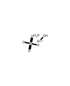 O.O=S(=O)([O-])[O-].[OH][Zn+2]